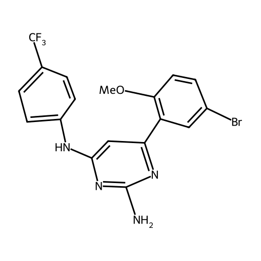 COc1ccc(Br)cc1-c1cc(Nc2ccc(C(F)(F)F)cc2)nc(N)n1